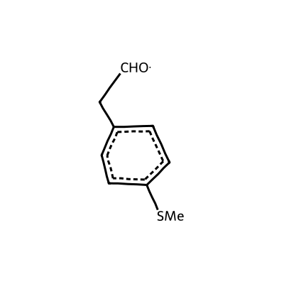 CSc1ccc(C[C]=O)cc1